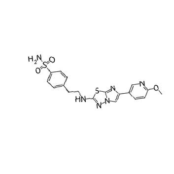 COc1ccc(-c2cn3nc(NCCc4ccc(S(N)(=O)=O)cc4)sc3n2)cn1